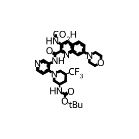 CC(C)(C)OC(=O)N[C@@H]1C[C@@H](C(F)(F)F)CN(c2ccncc2NC(=O)c2nc3cc(N4CCOCC4)ccc3cc2NC(=O)O)C1